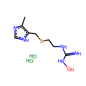 Cc1nc[nH]c1CSCCNC(=N)NO.Cl.Cl